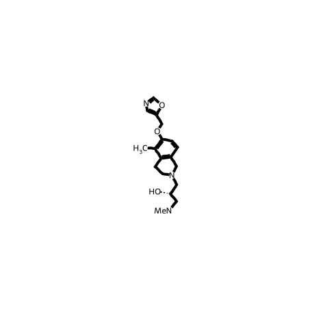 CNC[C@H](O)CN1CCc2c(ccc(OCc3cnco3)c2C)C1